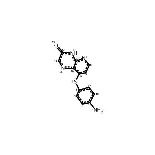 Nc1ccc(Sc2ccnc3[nH]c(=O)cnc23)cc1